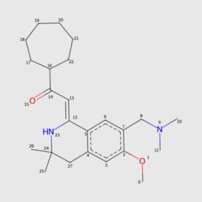 COc1cc2c(cc1CN(C)C)/C(=C/C(=O)C1CCCCCC1)NC(C)(C)C2